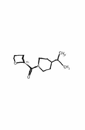 CC(C)C1CCN(C(=O)[C@@H]2CCO2)CC1